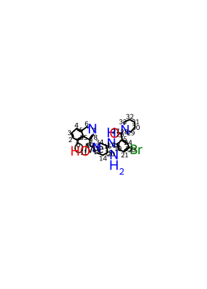 COc1cccc2cncc(C(O)N3CCC[C@@H](Nc4c(N)cc(Br)cc4C(=O)N4CCCCC4)C3)c12